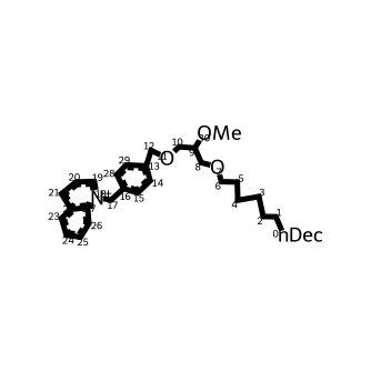 CCCCCCCCCCCCCCCCOCC(COCc1ccc(C[n+]2cccc3ccccc32)cc1)OC